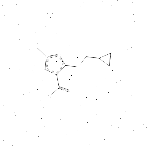 Cn1cc(C(N)=O)c(OCC2CC2)n1